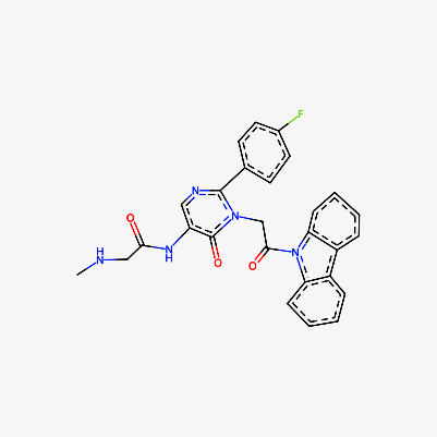 CNCC(=O)Nc1cnc(-c2ccc(F)cc2)n(CC(=O)n2c3ccccc3c3ccccc32)c1=O